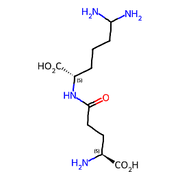 NC(N)CCC[C@H](NC(=O)CC[C@H](N)C(=O)O)C(=O)O